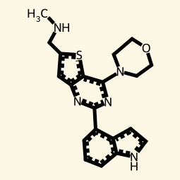 CNCc1cc2nc(-c3cccc4[nH]ccc34)nc(N3CCOCC3)c2s1